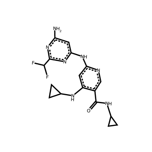 Nc1cc(Nc2cc(NC3CC3)c(C(=O)NC3CC3)cn2)nc(C(F)F)n1